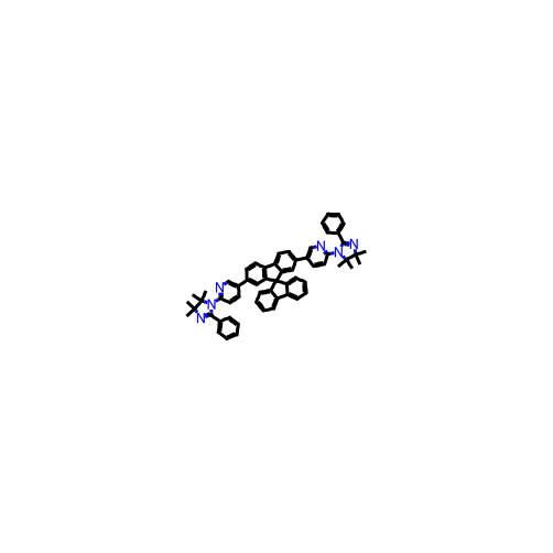 CC1(C)N=C(c2ccccc2)N(c2ccc(-c3ccc4c(c3)C3(c5ccccc5-c5ccccc53)c3cc(-c5ccc(N6C(c7ccccc7)=NC(C)(C)C6(C)C)nc5)ccc3-4)cn2)C1(C)C